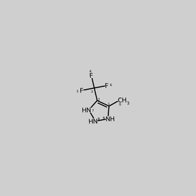 CC1=C(C(F)(F)F)NNN1